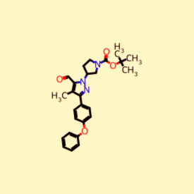 Cc1c(-c2ccc(Oc3ccccc3)cc2)nn(C2CCN(C(=O)OC(C)(C)C)C2)c1C=O